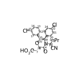 CCC[C@@H](C#N)N1C(=O)[C@H](CC(=O)O)O[C@@H](c2cccc(Cl)c2)[C@H]1c1ccc(Cl)cc1